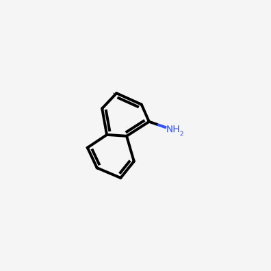 Nc1c[c]cc2ccccc12